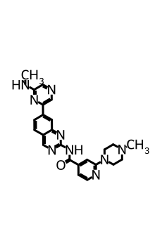 CNc1cncc(-c2ccc3cnc(NC(=O)c4ccnc(N5CCN(C)CC5)c4)nc3c2)n1